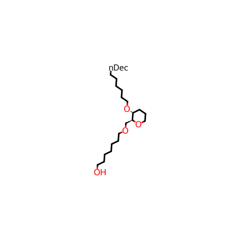 CCCCCCCCCCCCCCCCO[C@@H]1CCCO[C@H]1COCCCCCCCO